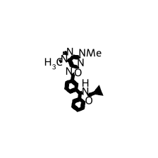 CNc1nc2oc(-c3cccc(C(NC(=O)C4CC4)c4ccccc4)c3)nc2c2c1ncn2C